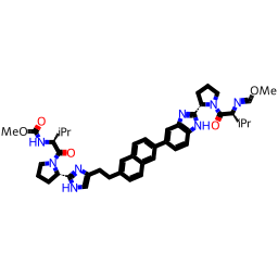 CO/C=N/[C@H](C(=O)N1CCC[C@H]1c1nc2cc(-c3ccc4cc(CCc5c[nH]c([C@@H]6CCCN6C(=O)[C@@H](NC(=O)OC)C(C)C)n5)ccc4c3)ccc2[nH]1)C(C)C